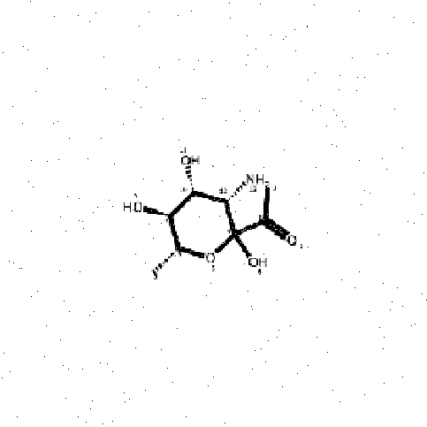 CC(=O)C1(O)O[C@H](C)[C@@H](O)[C@H](O)[C@@H]1N